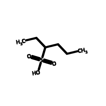 CCCC(CC)S(=O)(=O)O